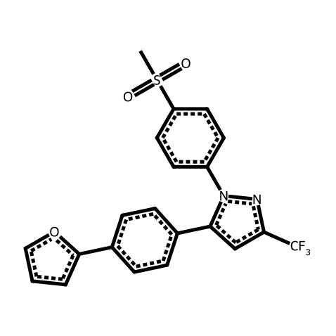 CS(=O)(=O)c1ccc(-n2nc(C(F)(F)F)cc2-c2ccc(-c3ccco3)cc2)cc1